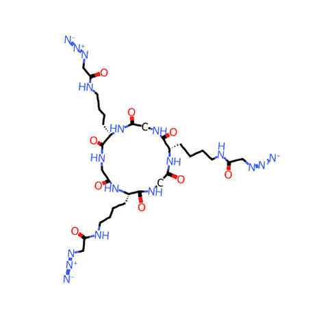 [N-]=[N+]=NCC(=O)NCCCC[C@@H]1NC(=O)CNC(=O)[C@H](CCCCNC(=O)CN=[N+]=[N-])NC(=O)CNC(=O)[C@H](CCCCNC(=O)CN=[N+]=[N-])NC(=O)CNC1=O